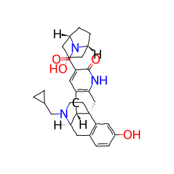 O=C(c1cc2c([nH]c1=O)C[C@]13CCN(CC4CC4)[C@H](Cc4ccc(O)cc41)[C@@H]3C2)N1[C@@H]2CC[C@H]1C[C@@H](O)C2